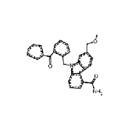 COCc1c[c]c2c3c(C(N)=O)cccc3n(Cc3ccccc3C(=O)c3ccccc3)c2c1